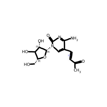 CC(=O)/C=C/c1cn([C@@H]2O[C@H](CO)C(O)[C@@H]2O)c(=O)nc1N